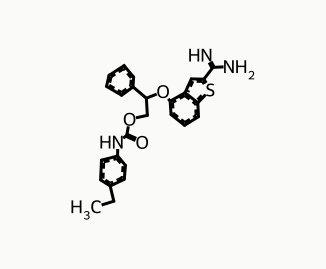 CCc1ccc(NC(=O)OCC(Oc2cccc3sc(C(=N)N)cc23)c2ccccc2)cc1